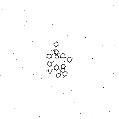 CCC(Cc1ccccc1-c1ccc2c(c1C)-c1ccccc1C21c2ccccc2-c2ccccc21)c1ccccc1-c1nc(-c2ccccc2)cc(-c2ccc(-c3ccccc3)cc2)n1